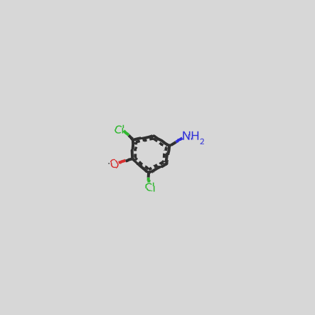 Nc1cc(Cl)c([O])c(Cl)c1